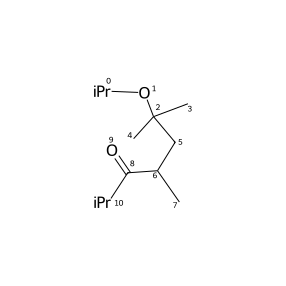 CC(C)OC(C)(C)CC(C)C(=O)C(C)C